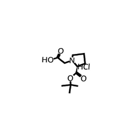 CC(C)(C)OC(=O)[C@@H]1CCCN1CC(=O)O.Cl